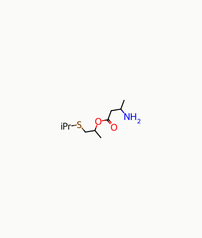 CC(N)CC(=O)OC(C)CSC(C)C